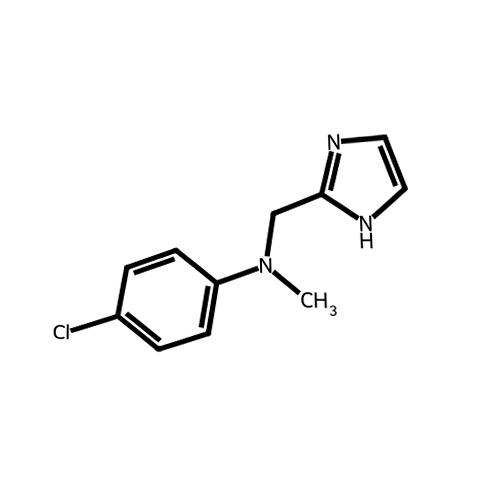 CN(Cc1ncc[nH]1)c1ccc(Cl)cc1